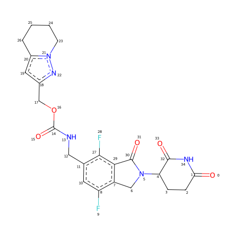 O=C1CCC(N2Cc3c(F)cc(CNC(=O)OCc4cc5n(n4)CCCC5)c(F)c3C2=O)C(=O)N1